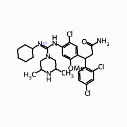 COc1cc(N/C(=N/C2CCCCC2)N2CC(C)NC(C)C2)c(Cl)cc1C(CC(N)=O)c1ccc(Cl)cc1Cl